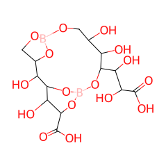 O=C(O)C(O)C(O)C1OB2OC(C(=O)O)C(O)C(O2)C(O)C2COB(OCC(O)C1O)O2